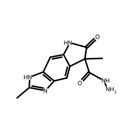 Cc1nc2cc3c(cc2[nH]1)NC(=O)C3(C)C(=O)NN